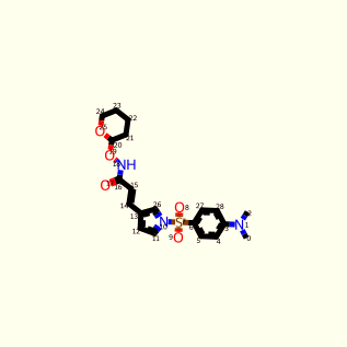 CN(C)c1ccc(S(=O)(=O)n2ccc(C=CC(=O)NOC3CCCCO3)c2)cc1